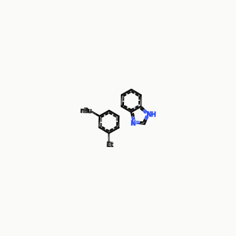 CCCCc1cccc(CC)c1.c1ccc2[nH]cnc2c1